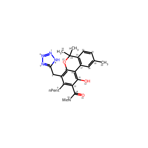 CCCCCc1c(Cc2nnn[nH]2)c2c(c(O)c1C(=O)NC)-c1cc(C)ccc1C(C)(C)O2